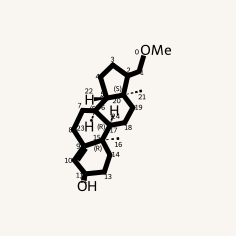 COCC1CC[C@H]2[C@@H]3CCC4=CC(O)CC[C@]4(C)[C@@H]3CC[C@]12C